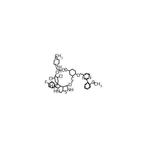 COc1ccccc1-c1nccc(COC2CCC3CC2CCOC2NSC4CNC(c5ccc(F)cc5)C(C24)C2(C)CC(Cl)C(O[C@H](CN4CCN(C)CC4)CO3)C(Cl)C2)n1